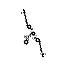 C=CC(=O)OCCCCCCOC1CCC(C(=O)Oc2ccc(OC(=O)C3CCC(OCCCCCCOC(=O)C=C)CC3)c(/C=N/Nc3nc4ccccc4s3)c2)CC1